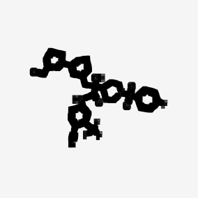 N#Cc1ccc(NC(=O)C(O)(Cc2cccc(-c3cccc(C=O)c3)c2)C2CCN(S(=O)(=O)c3ccc(F)cc3)CC2)cc1C(F)(F)F